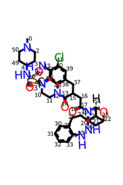 CN1CCC(NS(=O)(=O)N2CCN(C(=O)C(CC(=O)N3CCC4O[C@H]3C4C3CCc4ccccc4NN3)Cc3cc(Cl)c(N)c(C(F)(F)F)c3)CC2)CC1